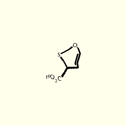 O=C(O)C1C=COS1